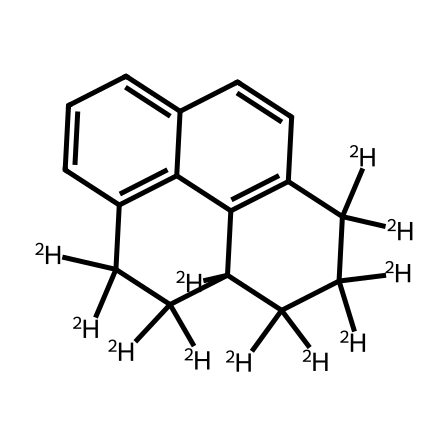 [2H]C1([2H])c2ccc3cccc4c3c2C([2H])(C([2H])([2H])C4([2H])[2H])C([2H])([2H])C1([2H])[2H]